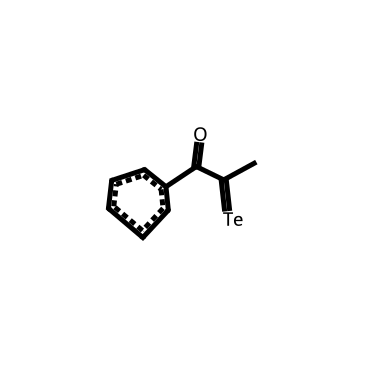 CC(=[Te])C(=O)c1ccccc1